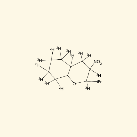 [2H]C1([2H])C2O[C@]([2H])(C(C)C)C([2H])([N+](=O)[O-])C([2H])([2H])C2([2H])C([2H])([2H])C([2H])([2H])C1([2H])[2H]